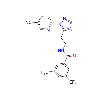 N#Cc1ccc(-n2ncnc2CCNC(=O)c2cc(C(F)(F)F)cc(C(F)(F)F)c2)nc1